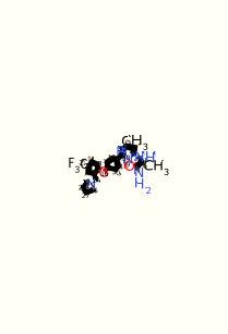 Cc1cc(NC(C)C(N)=O)nc(-c2ccc(Oc3ccc(C(F)(F)F)cc3CN3CCCC3)cc2)n1